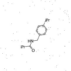 CC(C)C(=O)NCc1ccc(C(C)C)cc1